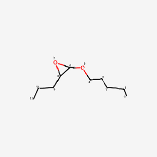 CCCCCOC1OC1CCC